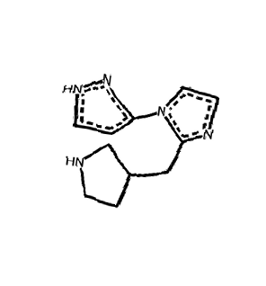 c1cn(-c2cc[nH]n2)c(CC2CCNC2)n1